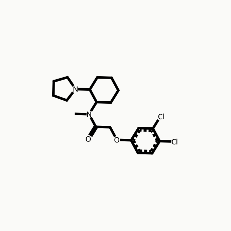 CN(C(=O)COc1ccc(Cl)c(Cl)c1)C1CCCCC1N1CCCC1